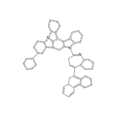 C1=CC2=c3ccccc3=C(C3=CCC(n4c5ccccc5c5c6c7ccccc7n7c8ccc(-c9ccccc9)cc8c(cc54)c67)=Nc4ccccc43)CC2C=C1